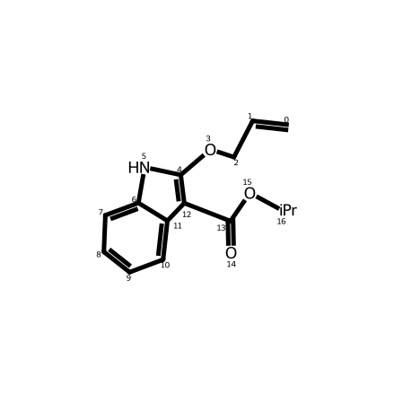 C=CCOc1[nH]c2ccccc2c1C(=O)OC(C)C